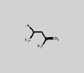 C=C(C)CC(C)CCC